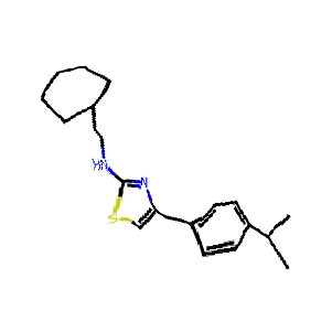 CC(C)c1ccc(-c2csc(NCC3CCCCC3)n2)cc1